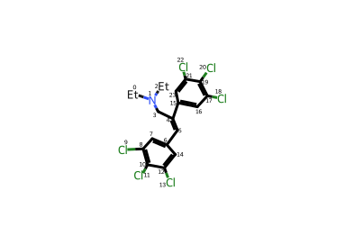 CCN(CC)C/C(=C\c1cc(Cl)c(Cl)c(Cl)c1)c1cc(Cl)c(Cl)c(Cl)c1